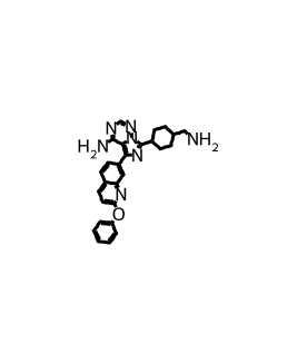 NCC1CCC(c2nc(-c3ccc4ccc(Oc5ccccc5)nc4c3)c3c(N)ncnn23)CC1